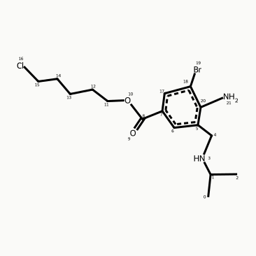 CC(C)NCc1cc(C(=O)OCCCCCCl)cc(Br)c1N